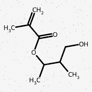 C=C(C)C(=O)OC(C)C(C)CO